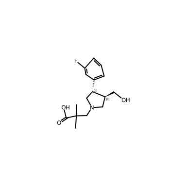 CC(C)(CN1C[C@H](CO)[C@@H](c2cccc(F)c2)C1)C(=O)O